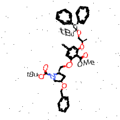 COC(=O)c1c(OC[C@H]2C[C@H](OCc3ccccc3)CN2C(=O)OC(C)(C)C)cc(C)cc1O[C@H](C)CO[Si](c1ccccc1)(c1ccccc1)C(C)(C)C